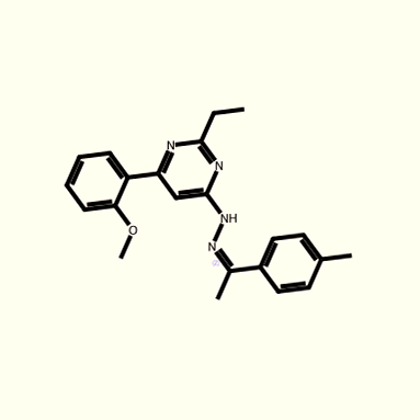 CCc1nc(N/N=C(/C)c2ccc(C)cc2)cc(-c2ccccc2OC)n1